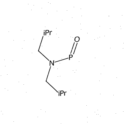 CC(C)CN(CC(C)C)P=O